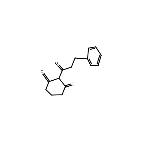 O=C1CCCC(=O)C1C(=O)CCc1ccccc1